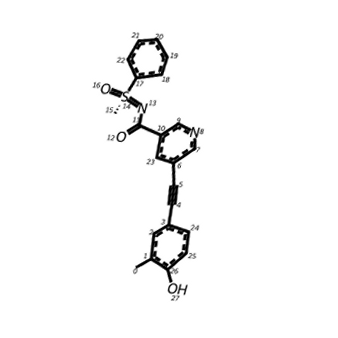 Cc1cc(C#Cc2cncc(C(=O)N=[S@@](C)(=O)c3ccccc3)c2)ccc1O